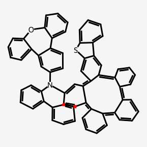 c1ccc(-c2ccccc2N(c2ccc3c(c2)-c2ccccc2Oc2ccccc2-3)c2ccc3c4ccccc4c4ccccc4c4ccccc4c4cc5c(cc4c3c2)sc2ccccc25)cc1